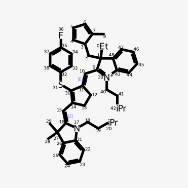 CCC1(CC2C=CC=C2C)C(/C=C2\CCC(/C=C3\N(CCC(C)C)c4ccccc4C3(C)C)=C2Sc2ccc(F)cc2)=[N+](CCC(C)C)c2ccccc21